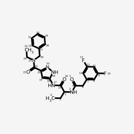 CCC(NC(=O)Cc1cc(F)cc(F)c1)C(=O)Nc1cc(C(=O)N(CC)Cc2ccccc2)n[nH]1